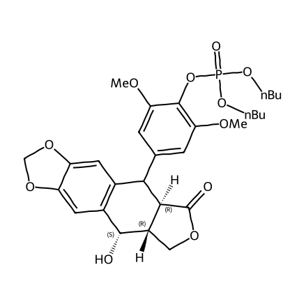 CCCCOP(=O)(OCCCC)Oc1c(OC)cc(C2c3cc4c(cc3[C@@H](O)[C@H]3COC(=O)[C@H]23)OCO4)cc1OC